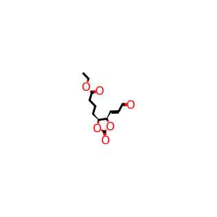 CCOC(=O)CCC[C@@H]1OC(=O)O[C@@H]1C=CC=O